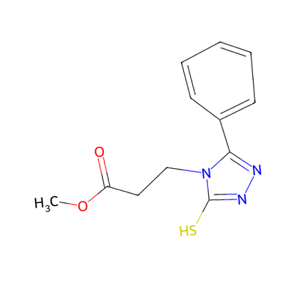 COC(=O)CCn1c(S)nnc1-c1ccccc1